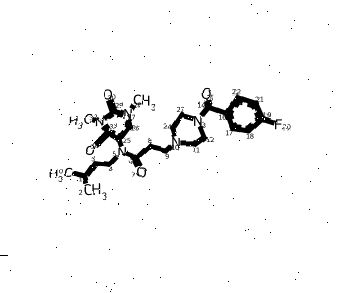 CC(C)=CCN(C(=O)CCN1CCN(C(=O)c2ccc(F)cc2)CC1)c1cn(C)c(=O)n(C)c1=O